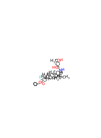 C=C(C)[C@@H]1CC[C@]2(NCCC3(O)CCC(C)(O)CC3)CC[C@]3(C)[C@H](CC[C@@H]4[C@@]5(C)CC=C(C6=CC[C@@](CF)(C(=O)OCc7ccccc7)CC6)C(C)(C)[C@@H]5CC[C@]43C)[C@@H]12